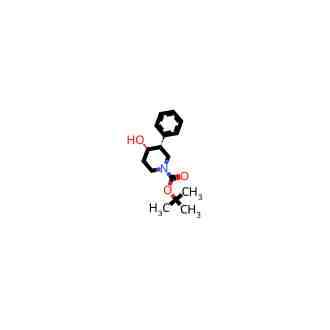 CC(C)(C)OC(=O)N1CC[C@H](O)[C@H](c2ccccc2)C1